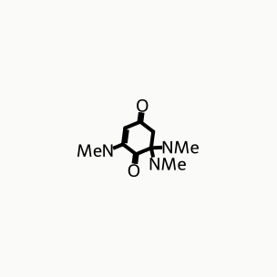 CNC1=CC(=O)CC(NC)(NC)C1=O